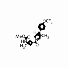 COC(=O)N[C@]1(C)C[C@H](C(=O)N2C[C@H]3[C@H](c4ccc(OC(F)(F)F)cc4)[C@@]3(C)C2)C1